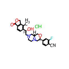 Cc1c([C@H](O)CN2CCN3C[C@H](c4ccc(C#N)c(F)c4)OC[C@H]3C2)ccc2c1COC2=O.Cl